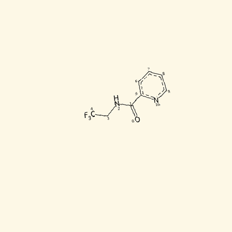 O=C(NCC(F)(F)F)c1ccccn1